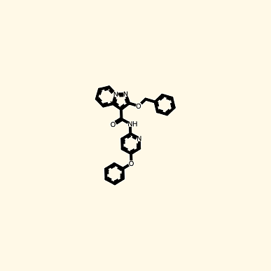 O=C(Nc1ccc(Oc2ccccc2)cn1)c1c(OCc2ccccc2)nn2ccccc12